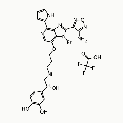 CCn1c(-c2nonc2N)nc2c(-c3ccc[nH]3)ncc(OCCCNC[C@H](O)c3ccc(O)c(O)c3)c21.O=C(O)C(F)(F)F